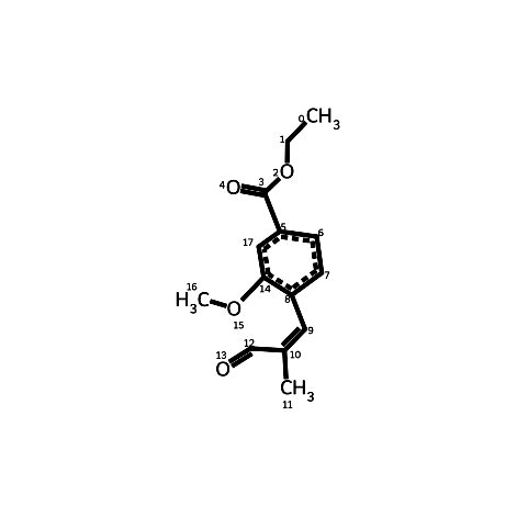 CCOC(=O)c1ccc(C=C(C)C=O)c(OC)c1